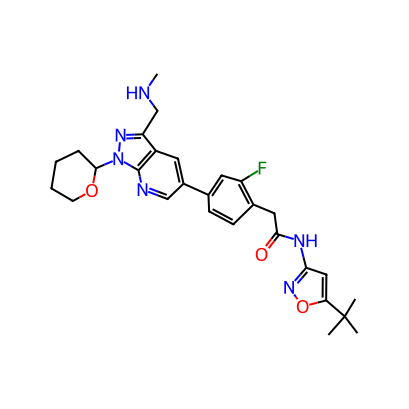 CNCc1nn(C2CCCCO2)c2ncc(-c3ccc(CC(=O)Nc4cc(C(C)(C)C)on4)c(F)c3)cc12